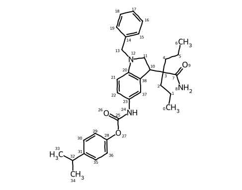 CCCC(CCC)(C(N)=O)C1CN(Cc2ccccc2)c2ccc(NC(=O)Oc3ccc(C(C)C)cc3)cc21